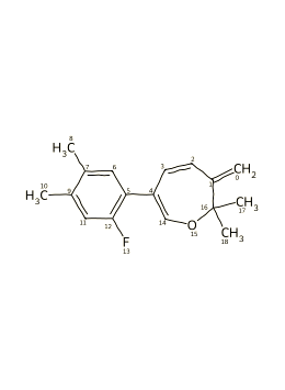 C=C1C=CC(c2cc(C)c(C)cc2F)=COC1(C)C